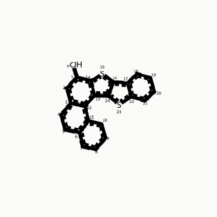 Oc1cc2ccc3ccccc3c2c2c1sc1c3ccccc3sc12